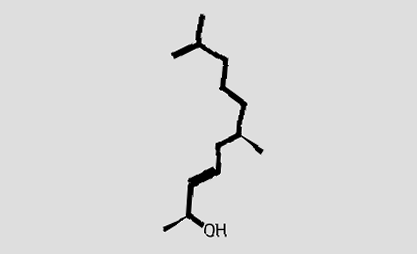 CC(C)CCC[C@@H](C)CC=C[C@H](C)O